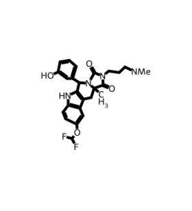 CNCCCN1C(=O)N2C(c3cccc(O)c3)c3[nH]c4ccc(OC(F)F)cc4c3CC2(C)C1=O